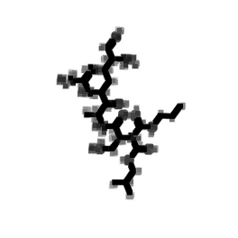 CCCOC(=O)N(C(=O)OCC(C)C)[C@@H](CO)C(=O)N[C@@H](C)C(=O)C(CC[C@H](N)C=O)NC(=N)N